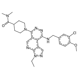 CCn1ncc2c3c(NCc4ccc(OC)c(Cl)c4)nnc(N4CCC(C(=O)N(C)C)CC4)c3cnc21